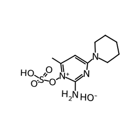 Cc1cc(N2CCCCC2)nc(N)[n+]1OS(=O)(=O)O.[OH-]